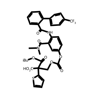 CCC(C)OC(=O)C(COC(=O)Oc1ccc(NC(=O)c2ccccc2-c2ccc(C(F)(F)F)cc2)c(C(=O)N(C)C)c1)(C(=O)O)c1cccs1